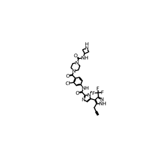 C#CCc1[nH]nc(C(F)(F)F)c1-c1cnc(C(=O)Nc2ccc(C(=O)N3CCN(C(=O)NC4CNC4)CC3)c(Cl)c2)n1C